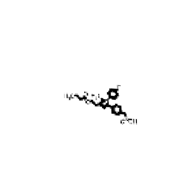 CCCC(=O)OCCc1cc(-c2ccc(CS(=O)O)cc2)n(-c2ccc(F)cc2)c1C